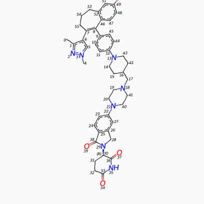 Cc1nn(C)cc1C1=C(c2ccc(N3CCC(CN4CCN(c5ccc6c(c5)CN([C@@H]5CCC(=O)NC5=O)C6=O)CC4)CC3)cc2)c2ccc(O)cc2CCC1